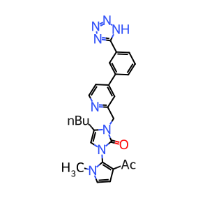 CCCCc1cn(-c2c(C(C)=O)ccn2C)c(=O)n1Cc1cc(-c2cccc(-c3nnn[nH]3)c2)ccn1